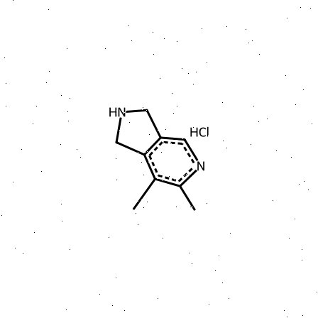 Cc1ncc2c(c1C)CNC2.Cl